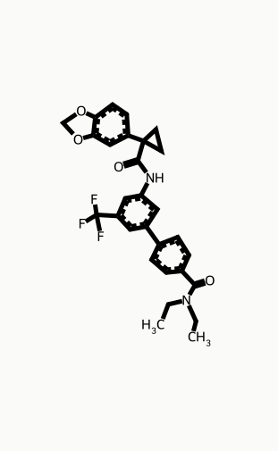 CCN(CC)C(=O)c1ccc(-c2cc(NC(=O)C3(c4ccc5c(c4)OCO5)CC3)cc(C(F)(F)F)c2)cc1